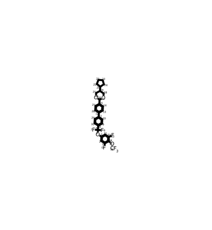 Fc1cc(OC(F)(F)c2ccc(-c3ccc(C4OCC(C5CCCC5)CO4)cc3)cc2)cc(F)c1OC(F)(F)F